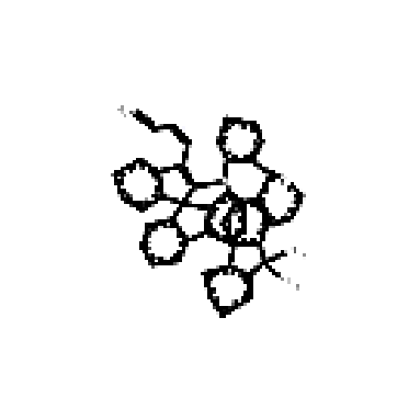 C=C/C=C\C1=C(N(c2ccc3c(c2)-c2ccccc2C3(C)C)c2ccccc2-c2ccccc2)C2(c3ccccc31)c1ccccc1-c1ccccc12